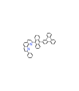 c1ccc(-c2ccc3ccc4ccc(-c5c6ccccc6c(-c6ccc7c8ccccc8c8ccccc8c7c6)c6ccccc56)nc4c3n2)cc1